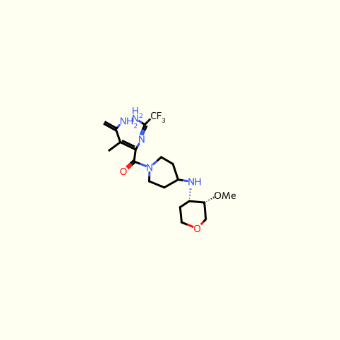 C=C(N)/C(C)=C(\N=C(/N)C(F)(F)F)C(=O)N1CCC(N[C@H]2CCOC[C@H]2OC)CC1